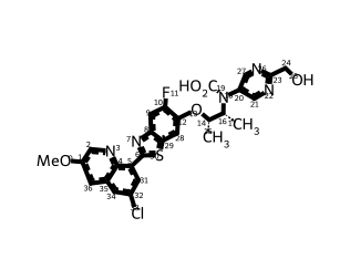 COc1cnc2c(-c3nc4cc(F)c(O[C@@H](C)[C@@H](C)N(C(=O)O)c5cnc(CO)nc5)cc4s3)cc(Cl)cc2c1